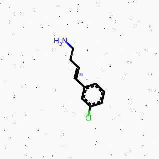 NCC/C=C/c1cccc(Cl)c1